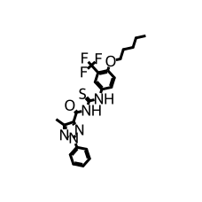 CCCCCOc1ccc(NC(=S)NC(=O)c2nn(-c3ccccc3)nc2C)cc1C(F)(F)F